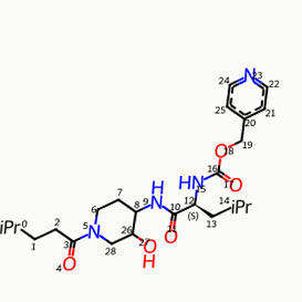 CC(C)CCC(=O)N1CCC(NC(=O)[C@H](CC(C)C)NC(=O)OCc2ccncc2)C(O)C1